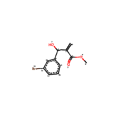 C=C(C(=O)OC)C(O)c1cccc(Br)c1